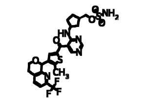 Cc1sc(C(=O)c2cncnc2NC2CC[C@@H](COS(N)(=O)=O)C2)cc1C1OCCc2ccc(C(F)(F)F)nc21